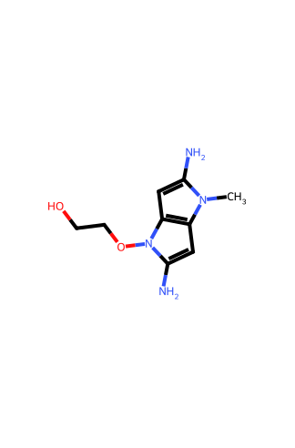 Cn1c(N)cc2c1cc(N)n2OCCO